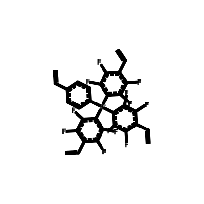 C=Cc1ccc([B-](c2c(F)c(F)c(C=C)c(F)c2F)(c2c(F)c(F)c(C=C)c(F)c2F)c2c(F)c(F)c(C=C)c(F)c2F)cc1